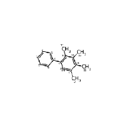 Cc1nc(-c2ccccc2)c(C)c(C)c1C